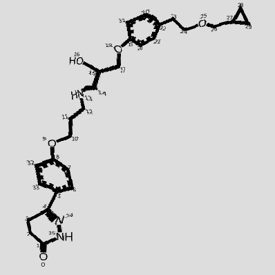 O=C1CCC(c2ccc(OCCCNCC(O)COc3ccc(CCOCC4CC4)cc3)cc2)=NN1